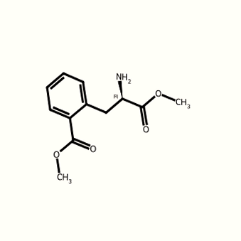 COC(=O)c1ccccc1C[C@@H](N)C(=O)OC